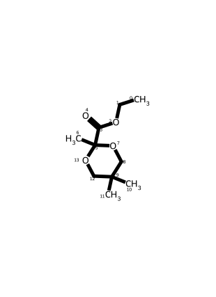 CCOC(=O)C1(C)OCC(C)(C)CO1